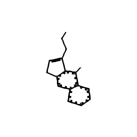 CCCC1=CCc2cc3ccccc3c(Br)c21